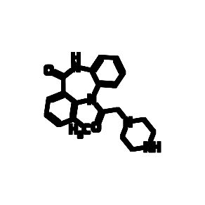 Cc1cccc2c1N(C(=O)CN1CCNCC1)c1ccccc1NC2=O